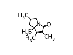 B[C@@]12CC(C)CN1C(=O)C(C)=C2C